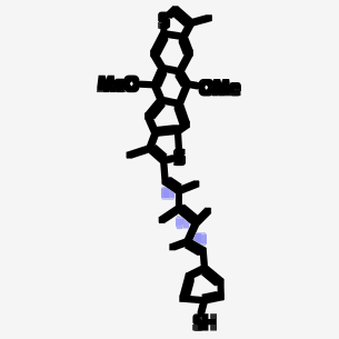 COc1c2cc3sc(/C=C(C)/C(C)=C(C)/C(C)=C/c4ccc(S)cc4)c(C)c3cc2c(OC)c2cc3scc(C)c3cc12